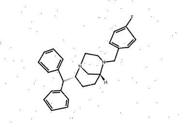 Fc1ccc(CN2CCN3C[C@H]2CC[C@@H]3C(c2ccccc2)c2ccccc2)cc1